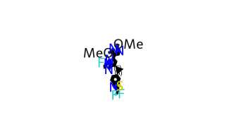 COc1ncc(-c2cc([C@H]3C[C@@H]3c3ccc4nc(C(F)F)sc4c3)c3ncc(F)n3n2)c(OC)n1